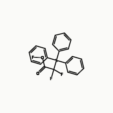 O=C(OF)C(F)(F)S(c1ccccc1)(c1ccccc1)c1ccccc1